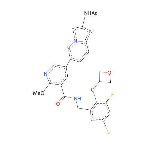 COc1ncc(-c2ccc3nc(NC(C)=O)cn3n2)cc1C(=O)NCc1cc(F)cc(F)c1OC1COC1